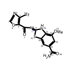 CCc1ncoc1C(=O)/N=c1/[nH]c2c(OC)cc(C(N)=O)cc2s1